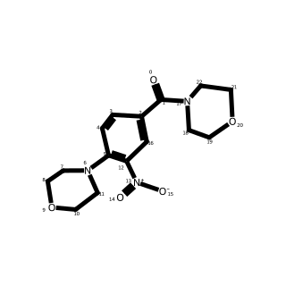 O=C(c1ccc(N2CCOCC2)c([N+](=O)[O-])c1)N1CCOCC1